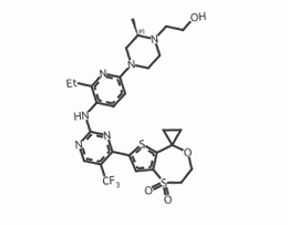 CCc1nc(N2CCN(CCO)[C@H](C)C2)ccc1Nc1ncc(C(F)(F)F)c(-c2cc3c(s2)C2(CC2)OCCS3(=O)=O)n1